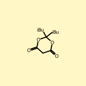 CCC(C)C1(C(C)CC)OC(=O)CC(=O)O1